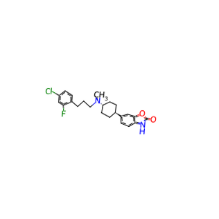 CN(CCCc1ccc(Cl)cc1F)[C@H]1CC[C@H](c2ccc3[nH]c(=O)oc3c2)CC1